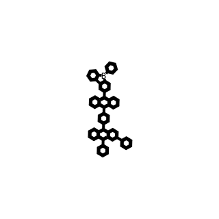 c1ccc(B2c3ccccc3-c3cc(-c4c5ccccc5c(-c5ccc(-c6c7ccccc7c(-c7ccccc7)c7cc(-c8ccccc8)ccc67)cc5)c5ccccc45)ccc32)cc1